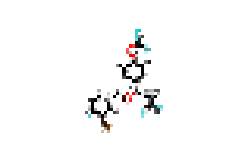 Fc1ccc(COC(c2ccc(OC(F)F)cc2)C2CC2(F)F)cc1Br